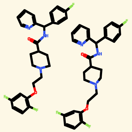 O=C(NC(c1ccc(F)cc1)c1ccccn1)C1CCN(CCOc2cc(F)ccc2F)CC1.O=C(NC(c1ccc(F)cc1)c1ccccn1)C1CCN(CCOc2cc(F)ccc2F)CC1